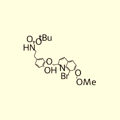 COCOc1ccc2ccc(COc3cc(CCNC(=O)OC(C)(C)C)ccc3O)nc2c1Br